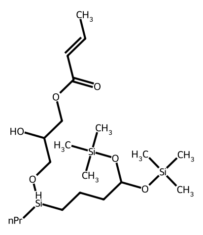 CC=CC(=O)OCC(O)CO[SiH](CCC)CCCC(O[Si](C)(C)C)O[Si](C)(C)C